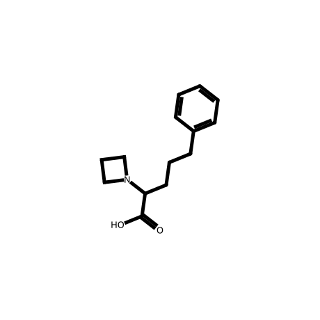 O=C(O)C(CCCc1ccccc1)N1CCC1